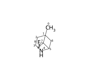 CC12CCNC(C1)C2(F)F